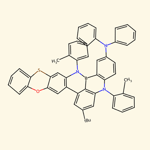 Cc1ccccc1N1B2c3cc(N(c4ccccc4)c4ccccc4)ccc3N(c3ccccc3C)c3cc(C(C)(C)C)cc(c32)-c2cc3c(cc21)Sc1ccccc1O3